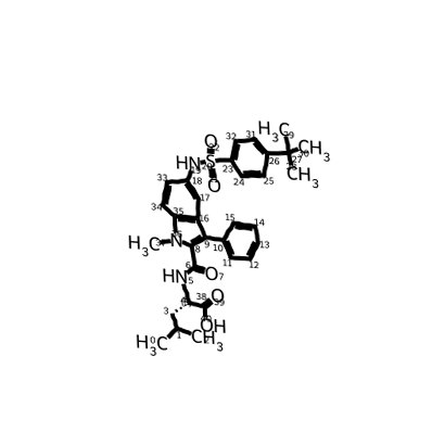 CC(C)C[C@H](NC(=O)c1c(-c2ccccc2)c2cc(NS(=O)(=O)c3ccc(C(C)(C)C)cc3)ccc2n1C)C(=O)O